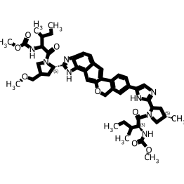 CCC(C)C(NC(=O)OC)C(=O)N1CC(COC)C[C@H]1c1nc2ccc3cc4c(cc3c2[nH]1)OCc1cc(-c2cnc(C3C[C@H](C)CN3C(=O)[C@@H](NC(=O)OC)C(C)CC)[nH]2)ccc1-4